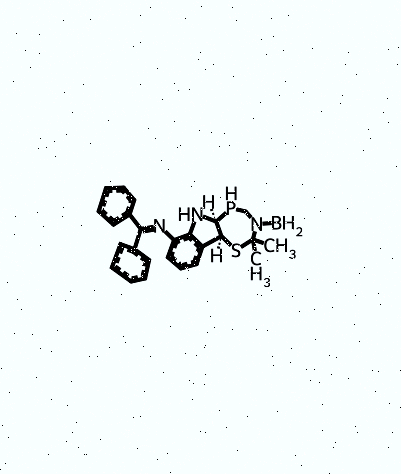 BN1CP[C@@H]2Nc3c(N=C(c4ccccc4)c4ccccc4)cccc3[C@@H]2SC1(C)C